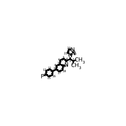 CC(C)C(c1ccc2cc(-c3ccc(F)cc3)ccc2n1)n1ccnn1